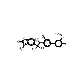 CC(c1ccc(-c2ccc(F)c(OC(=O)O)c2)cc1Cl)C(O)(c1ccc2oc(=O)n(C)c2c1)C(F)(F)F